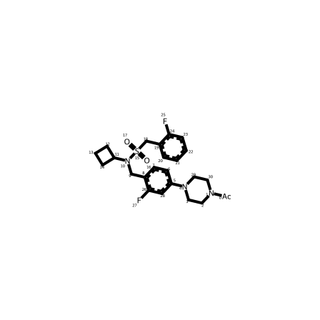 CC(=O)N1CCN(c2ccc(CN(C3CCC3)S(=O)(=O)Cc3ccccc3F)c(F)c2)CC1